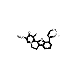 C/C=C\C(=N/C)c1cccc2c3c(oc12)-c1c(F)c(=O)c(C(=O)O)cn1CC3